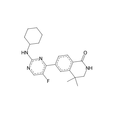 CC1(C)CNC(=O)c2ccc(-c3nc(NC4CCCCC4)ncc3F)cc21